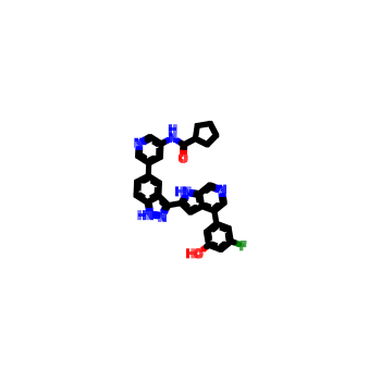 O=C(Nc1cncc(-c2ccc3[nH]nc(-c4cc5c(-c6cc(O)cc(F)c6)cncc5[nH]4)c3c2)c1)C1CCCC1